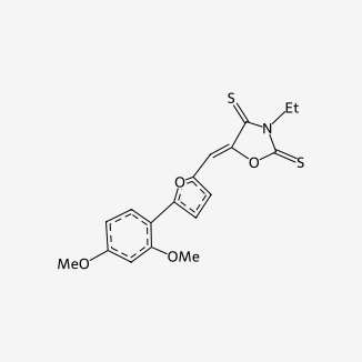 CCN1C(=S)O/C(=C\c2ccc(-c3ccc(OC)cc3OC)o2)C1=S